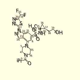 CC(C)C(=O)N1CCN(c2cc(S(=O)(=O)N[C@@]3(C)C[C@H]3CCO)cc3c2cnn3-c2nnc(C(F)F)s2)CC1